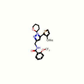 COc1ccsc1-c1cc(CNC(=O)c2ccccc2OC(F)(F)F)nn1C1CCCCO1